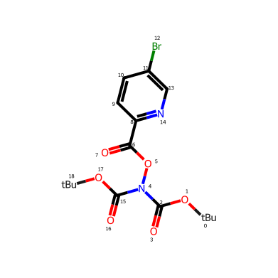 CC(C)(C)OC(=O)N(OC(=O)c1ccc(Br)cn1)C(=O)OC(C)(C)C